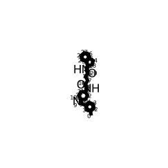 Cc1cccc(CC2(N(C)C)CCC(NC(=O)CCC(=O)NC3CCc4ccccc43)CC2)c1